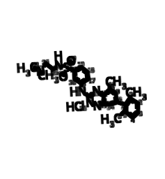 Cc1cccc(C)c1-c1cc(C)c2nc(Nc3cccc(S(=O)(=O)NCCN(C)C)c3)nnc2c1.Cl